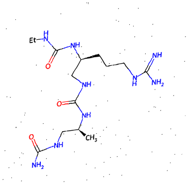 CCNC(=O)N[C@@H](CCCNC(=N)N)CNC(=O)N[C@@H](C)CNC(N)=O